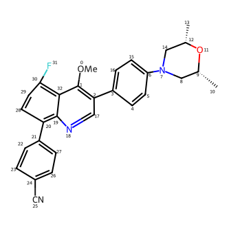 COc1c(-c2ccc(N3C[C@@H](C)O[C@@H](C)C3)cc2)cnc2c(-c3ccc(C#N)cc3)ccc(F)c12